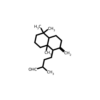 C=C1CCC2C(C)(C)CCCC2(C)C1CCC(C)C=O